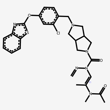 C=NN(/C=C(\C)N(C)C(C)=O)C(=O)N1CC2CN(Cc3ccc(Oc4nc5ccccc5s4)cc3Cl)CC2C1